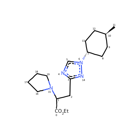 CCOC(=O)C(Cc1ncn([C@H]2CC[C@H](C)CC2)n1)N1CCCC1